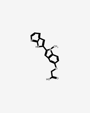 Cn1c(-c2cc3cccnc3[nH]2)cc2cc(OCC(=O)O)ccc21